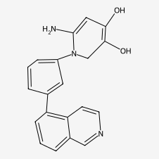 NC1=CC(O)=C(O)CN1c1cccc(-c2cccc3cnccc23)c1